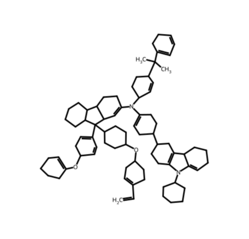 C=CC1=CCC(OC2CCC(C3(C4=CCC(OC5=CCCCC5)C=C4)C4C=C(N(C5=CCC(C6CCC7=C(C6)C6CCCC=C6N7C6CCCCC6)CC5)C5C=CC(C(C)(C)C6=CC=CCC6)CC5)CCC4C4CCCCC43)CC2)CC1